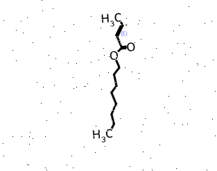 C/[C]=C/C(=O)OCCCCCCCC